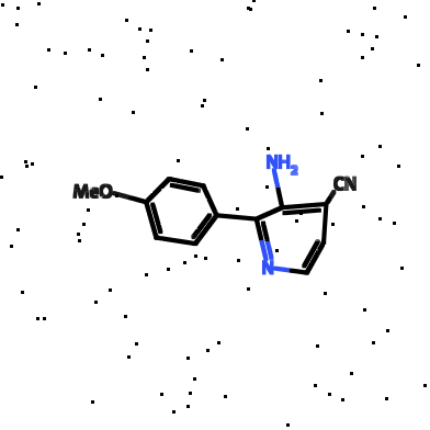 COc1ccc(-c2nccc(C#N)c2N)cc1